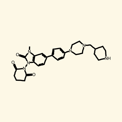 Cn1c(=O)n(N2C(=O)CCCC2=O)c2ccc(-c3ccc(N4CCN(CC5CCNCC5)CC4)cc3)cc21